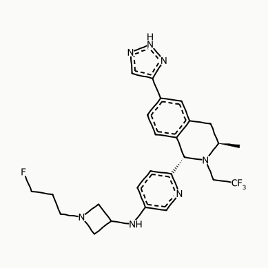 C[C@@H]1Cc2cc(-c3cn[nH]n3)ccc2[C@@H](c2ccc(NC3CN(CCCF)C3)cn2)N1CC(F)(F)F